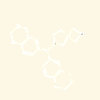 c1cc2c(cc1C(c1ccc3c(c1)COCO3)N1CCC3(CNC3)C1)COCO2